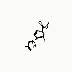 C=C(C)CNc1ccc(C(=O)OC)nc1I